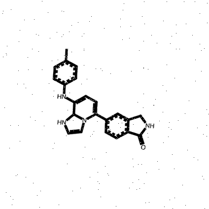 Cc1ccc(NC2=CC=C(c3ccc4c(c3)CNC4=O)N3C=CNC23)cc1